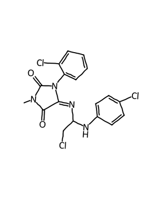 CN1C(=O)C(=NC(CCl)Nc2ccc(Cl)cc2)N(c2ccccc2Cl)C1=O